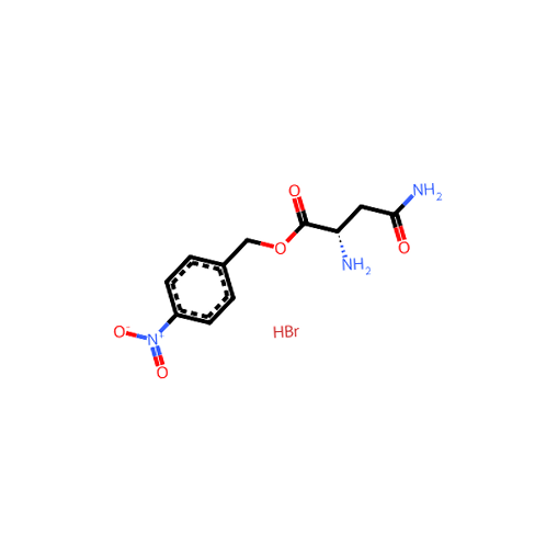 Br.NC(=O)C[C@H](N)C(=O)OCc1ccc([N+](=O)[O-])cc1